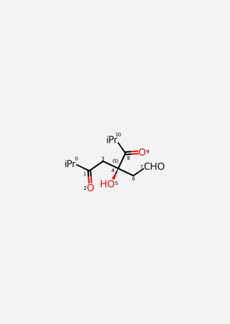 CC(C)C(=O)C[C@@](O)(CC=O)C(=O)C(C)C